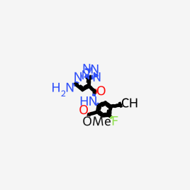 C#Cc1cc(NC(=O)c2cc(N)nn3nnnc23)c(C(=O)OC)cc1F